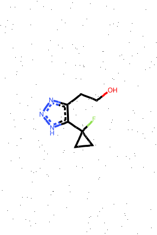 OCCc1nn[nH]c1C1(F)CC1